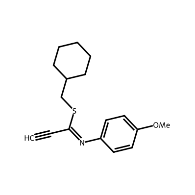 C#CC(=Nc1ccc(OC)cc1)SCC1CCCCC1